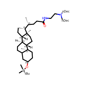 CCCCCCCCCCN(CCCCCCCCCC)CCNC(=O)CC[C@@H](C)[C@H]1CC[C@H]2[C@@H]3CCC4C[C@H](O[Si](C)(C)C(C)(C)C)CC[C@]4(C)[C@H]3CC[C@]12C